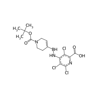 CC(C)(C)OC(=O)N1CC=C(BNc2c(Cl)c(Cl)nc(C(=O)O)c2Cl)CC1